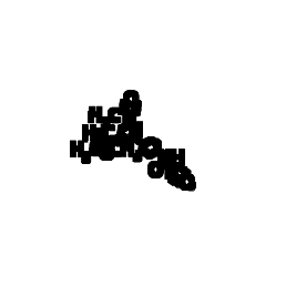 C[C@H]1COCCN1c1cc(C(C)(C)S(C)(=O)=O)nc(-c2ccc(NC(=O)N3CCOCC3)cc2)n1